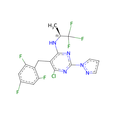 C[C@H](Nc1nc(-n2cccn2)nc(Cl)c1Cc1c(F)cc(F)cc1F)C(F)(F)F